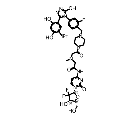 CC(C)c1cc(-c2nnc(O)n2-c2ccc(CN3CCN(C(=O)CN(C)CC(=O)Nc4ccn([C@@H]5O[C@H](CO)[C@@H](O)C5(F)F)c(=O)n4)CC3)c(F)c2)c(O)cc1O